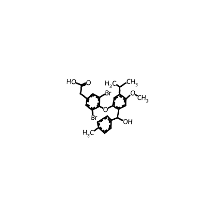 COc1cc(C(O)c2ccc(C)cc2)c(Oc2c(Br)cc(CC(=O)O)cc2Br)cc1C(C)C